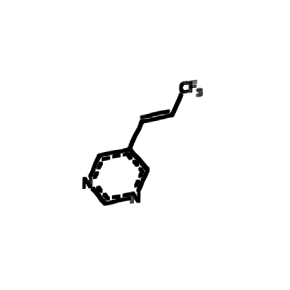 FC(F)(F)C=Cc1cncnc1